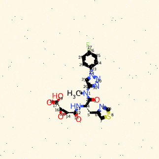 CN(C(=O)[C@H](Cc1cscn1)NC(=O)[C@H]1O[C@@H]1C(=O)O)c1cn(-c2ccc(F)cc2)nn1